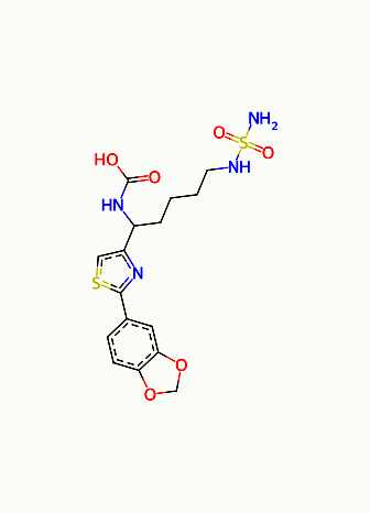 NS(=O)(=O)NCCCCC(NC(=O)O)c1csc(-c2ccc3c(c2)OCO3)n1